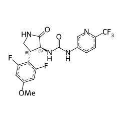 COc1cc(F)c([C@@H]2CNC(=O)[C@H]2NC(=O)Nc2ccc(C(F)(F)F)nc2)c(F)c1